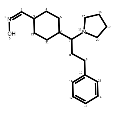 O/N=C\C1CCC(C(CCc2ccccc2)N2CCCC2)CC1